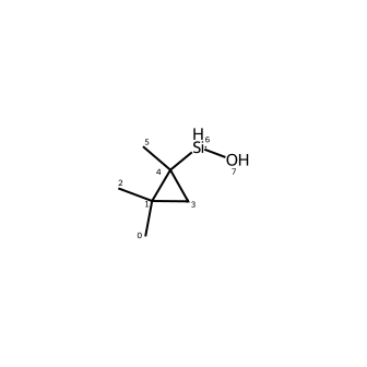 CC1(C)CC1(C)[SiH]O